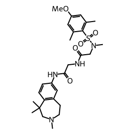 COc1cc(C)c(S(=O)(=O)N(C)CC(=O)NCC(=O)Nc2ccc3c(c2)CCN(C)CC3(C)C)c(C)c1